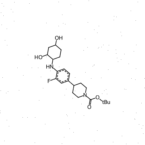 CC(C)(C)OC(=O)N1CCC(c2ccc(NC3CCC(O)CC3O)c(F)c2)CC1